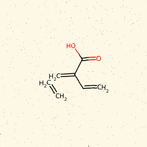 C=C.C=CC(=C)C(=O)O